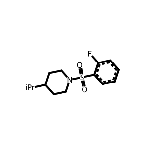 CC(C)C1CCN(S(=O)(=O)c2ccccc2F)CC1